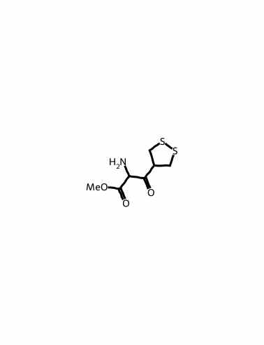 COC(=O)C(N)C(=O)C1CSSC1